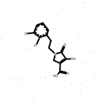 O=C(O)C1=C(O)C(=O)N(CCc2cccc(Cl)c2Cl)C1